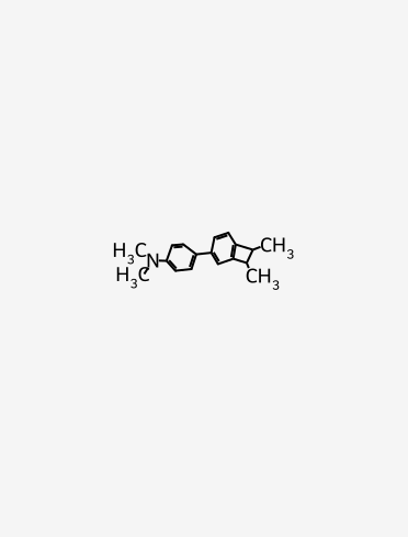 CC1c2ccc(-c3ccc(N(C)C)cc3)cc2C1C